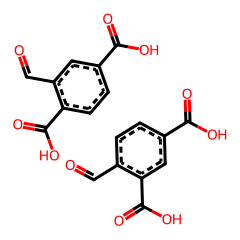 O=Cc1cc(C(=O)O)ccc1C(=O)O.O=Cc1ccc(C(=O)O)cc1C(=O)O